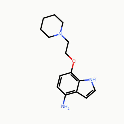 Nc1ccc(OCCN2CCCCC2)c2[nH]ccc12